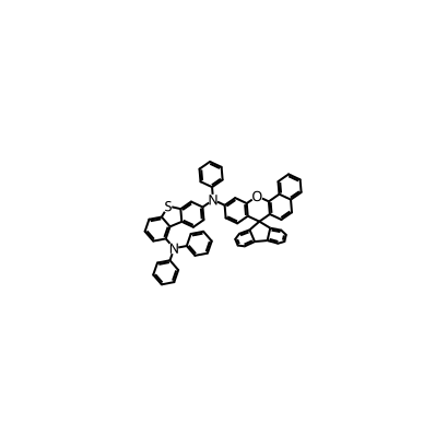 c1ccc(N(c2ccc3c(c2)Oc2c(ccc4ccccc24)C32c3ccccc3-c3ccccc32)c2ccc3c(c2)sc2cccc(N(c4ccccc4)c4ccccc4)c23)cc1